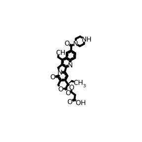 CCc1c2c(nc3ccc(C(=O)N4CCNCC4)cc13)-c1cc3c(c(=O)n1C2)COC(=O)[C@@]3(CC)OCCC(=O)O